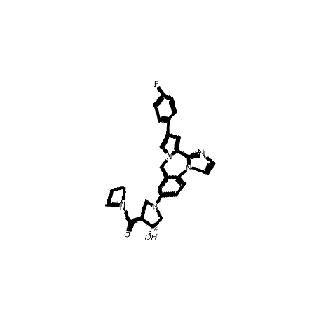 O=C(C1CN(c2ccc3c(c2)Cn2cc(-c4ccc(F)cc4)cc2-c2nccn2-3)C[C@@H]1O)N1CCC1